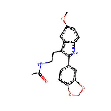 COc1ccc2[nH]c(-c3ccc4c(c3)OCO4)c(CCNC(C)=O)c2c1